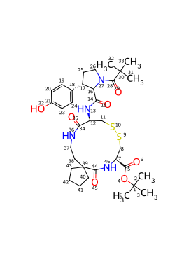 CC(C)(C)OC(=O)[C@@H]1CSSC[C@H](NC(=O)C2[C@H](c3ccc(O)cc3)CCN2C(=O)C(C)(C)C)C(=O)NCCC2(CCCC2)C(=O)N1